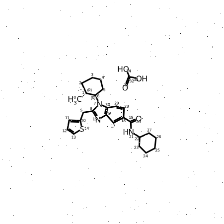 C[C@@H]1CCCC[C@H]1n1c(Cc2cccs2)nc2cc(C(=O)NC3CCCCC3)ccc21.O=C(O)O